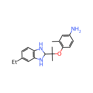 CCc1ccc2c(c1)NC(C(C)(C)Oc1ccc(N)cc1C)N2